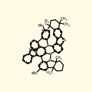 CC(C)(C)c1ccc(N2c3cc4sc5ccccc5c4c4c3B(c3ccc5sc6cc7c(cc6c5c32)C(C)(C)CCC7(C)C)N2c3c-4cc(C(C)(C)C)cc3C3(C)CCCCC23C)c(-c2ccccc2)c1